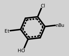 CCCCc1cc(O)c(CC)cc1Cl